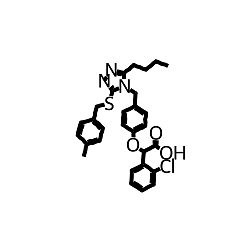 CCCCc1nnc(SCc2ccc(C)cc2)n1Cc1ccc(OC(C(=O)O)c2ccccc2Cl)cc1